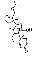 CC(C)OCC(=O)C1(O)C(C)CC2C3CCC4=CC(=O)C=CC4(C)C3(Cl)C(O)CC21C